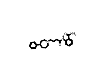 NC(=O)c1ccccc1NC(=O)CCCN1CCCC(c2ccccc2)CC1